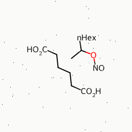 CCCCCCC(C)ON=O.O=C(O)CCCCC(=O)O